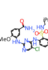 COc1ccc(C(N)=O)cc1Nc1ncc(Cl)c(Nc2ccccc2S(=O)(=O)NCC(C)C)n1